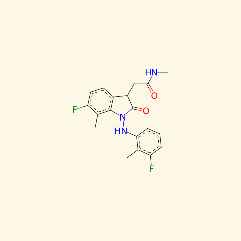 CNC(=O)CC1C(=O)N(Nc2cccc(F)c2C)c2c1ccc(F)c2C